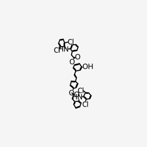 O=C(Cc1ccccc1Nc1c(Cl)cccc1Cl)Oc1ccc(/C=C/c2cc(O)cc(OC(=O)Cc3ccccc3Nc3c(Cl)cccc3Cl)c2)cc1